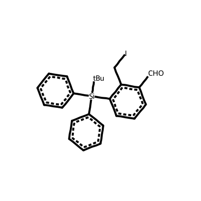 CC(C)(C)[Si](c1ccccc1)(c1ccccc1)c1cccc(C=O)c1CI